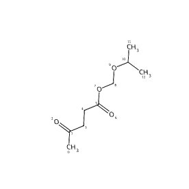 CC(=O)CCC(=O)OCOC(C)C